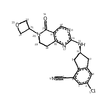 N#Cc1cc(Cl)cc2c1C[C@@H](Nc1ncc3c(n1)CCN(C1COC1)C3=O)C2